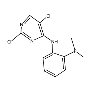 CP(C)c1ccccc1Nc1nc(Cl)ncc1Cl